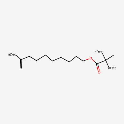 C=C(CCCCCCCCCC)CCCCCCCCOC(=O)C(C)(CCCCCCCC)CCCCCCCCCC